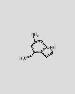 C=Cc1cc(N)cc2[nH]ccc12